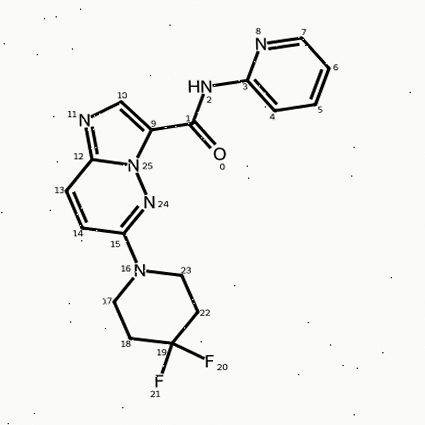 O=C(Nc1ccccn1)c1cnc2ccc(N3CCC(F)(F)CC3)nn12